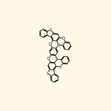 c1ccc2c(c1)Oc1cc3sc4ccccc4c3c3c1B2c1cc2c(cc1O3)Oc1cc3sc4ccccc4c3c3c1B2c1ccccc1S3